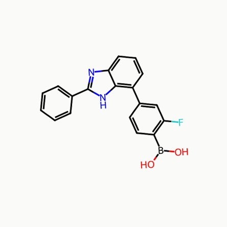 OB(O)c1ccc(-c2cccc3nc(-c4ccccc4)[nH]c23)cc1F